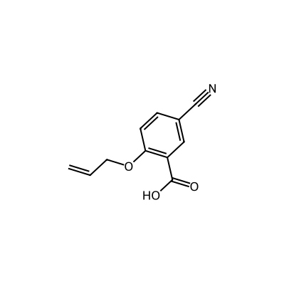 C=CCOc1ccc(C#N)cc1C(=O)O